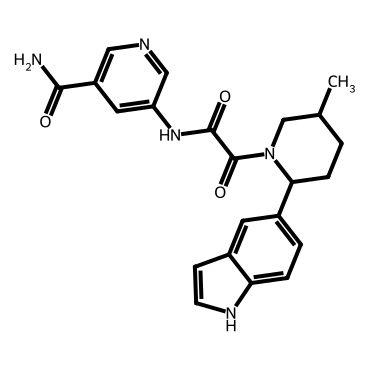 CC1CCC(c2ccc3[nH]ccc3c2)N(C(=O)C(=O)Nc2cncc(C(N)=O)c2)C1